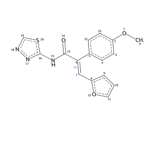 COc1ccc(/C(=C\c2ccco2)C(=O)Nc2nncs2)cc1